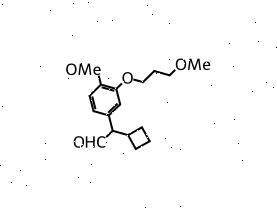 COCCCOc1cc(C(C=O)C2CCC2)ccc1OC